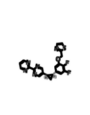 Fc1cc([C@@H]2C[C@H]2c2cnc(-c3ncccn3)nc2)cc(OCc2nccs2)c1F